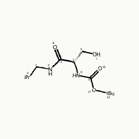 CC(C)CNC(=O)[C@H](CO)NC(=O)OC(C)(C)C